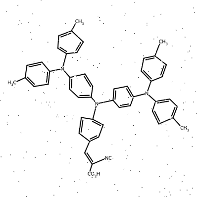 [C-]#[N+]/C(=C\c1ccc(N(c2ccc(N(c3ccc(C)cc3)c3ccc(C)cc3)cc2)c2ccc(N(c3ccc(C)cc3)c3ccc(C)cc3)cc2)cc1)C(=O)O